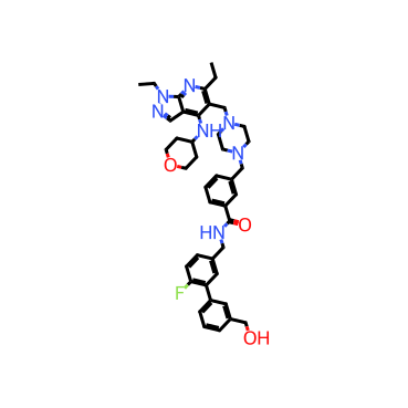 CCc1nc2c(cnn2CC)c(NC2CCOCC2)c1CN1CCN(Cc2cccc(C(=O)NCc3ccc(F)c(-c4cccc(CO)c4)c3)c2)CC1